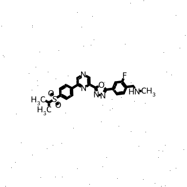 CNCc1ccc(-c2nnc(-c3cncc(-c4ccc(S(=O)(=O)C(C)C)cc4)n3)o2)cc1F